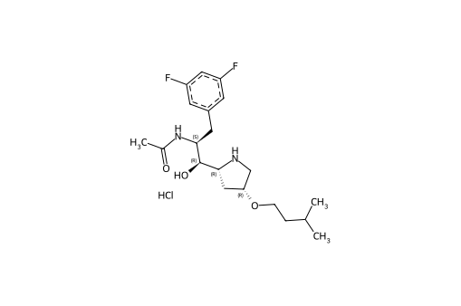 CC(=O)N[C@@H](Cc1cc(F)cc(F)c1)[C@H](O)[C@H]1C[C@@H](OCCC(C)C)CN1.Cl